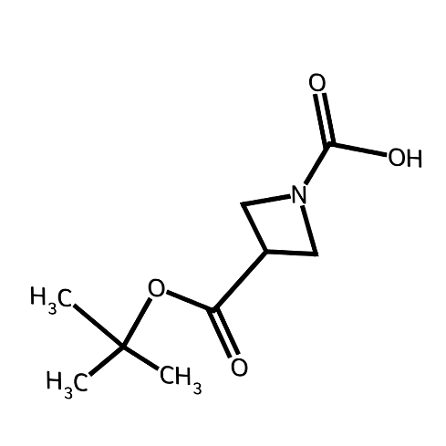 CC(C)(C)OC(=O)C1CN(C(=O)O)C1